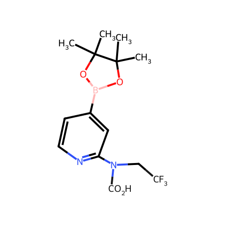 CC1(C)OB(c2ccnc(N(CC(F)(F)F)C(=O)O)c2)OC1(C)C